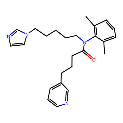 Cc1cccc(C)c1N(CCCCCn1ccnc1)C(=O)CCCc1cccnc1